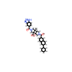 O=C(c1ccc2[nH]nnc2c1)N1C[C@@H]2C3CN(C(=O)c4ccc5cc(-c6ccccc6)ccc5c4)CC3(O)[C@@H]2C1